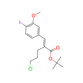 COc1cc(/C=C(\CCCCl)C(=O)OC(C)(C)C)ccc1I